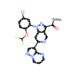 CNC(=O)c1nn(-c2cc(Cl)ccc2OC(F)F)c2cc(-c3cnn4cccnc34)ncc12